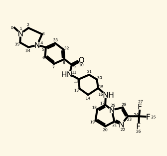 CN1CCN(c2ccc(C(=O)NC3CCC(Nc4cccc5nc(C(F)(F)F)cn45)CC3)cc2)CC1